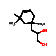 CC1(C(=O)O)C=CCC(CC(O)CO)(C(=O)O)C1